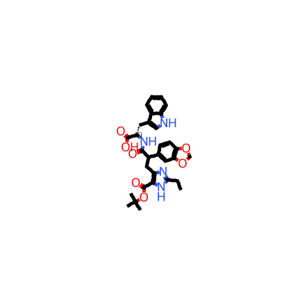 CCc1nc(CC(C(=O)N[C@@H](Cc2c[nH]c3ccccc23)C(=O)O)c2ccc3c(c2)OCO3)c(C(=O)OC(C)(C)C)[nH]1